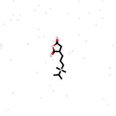 CC(C)[Si](C)(C)CCCC1CC(=O)OC1=O